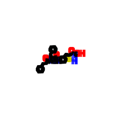 O=C(CCc1ccccc1)[AsH]C(Cc1ccccc1)C(=O)Nc1ccc2sc(C(=O)NO)cc2c1